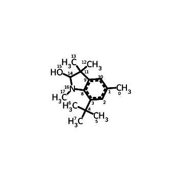 Cc1cc(C(C)(C)C)c2c(c1)C(C)(C)C(O)N2C